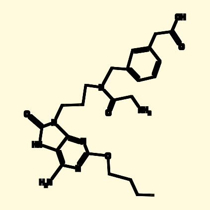 CCCCOc1nc(N)c2[nH]c(=O)n(CCCN(Cc3cccc(CC(=O)O)c3)C(=O)CN)c2n1